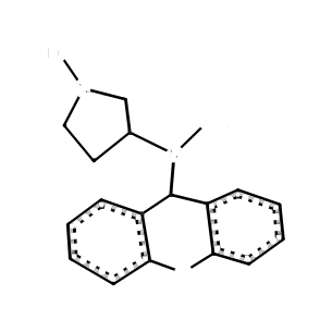 CCCCN(C1CCN(CC)C1)C1c2ccccc2Oc2ccccc21